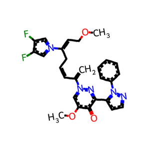 C=C(/C=C\C/C(=C\COC)n1cc(F)c(F)c1)n1cc(OC)c(=O)c(-c2ccnn2-c2ccccc2)n1